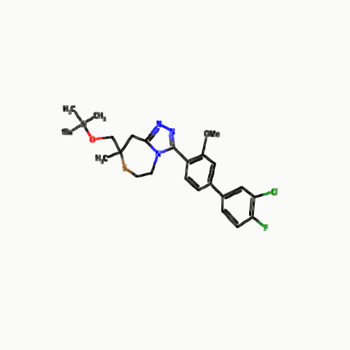 COc1cc(-c2ccc(F)c(Cl)c2)ccc1-c1nnc2n1CCSC(C)(CO[Si](C)(C)C(C)(C)C)C2